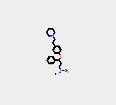 CN(C)CCC(Oc1ccc(CCN2CCCCC2)cc1)c1ccccc1